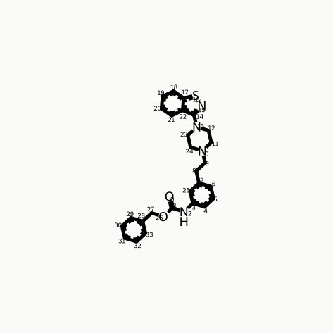 O=C(Nc1cccc(CCN2CCN(c3nsc4ccccc34)CC2)c1)OCc1ccccc1